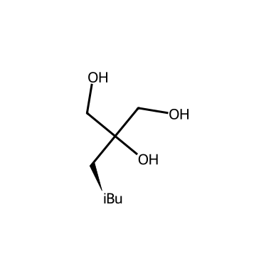 CC[C@H](C)CC(O)(CO)CO